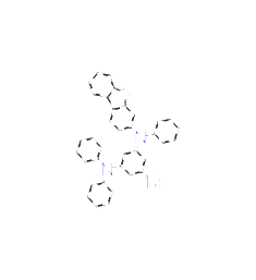 Brc1cc(N(c2ccccc2)c2ccccc2)cc(N(c2ccccc2)c2ccc3c(c2)sc2ccccc23)c1